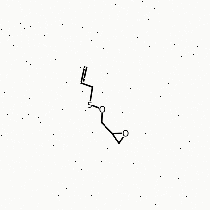 C=CCSOCC1CO1